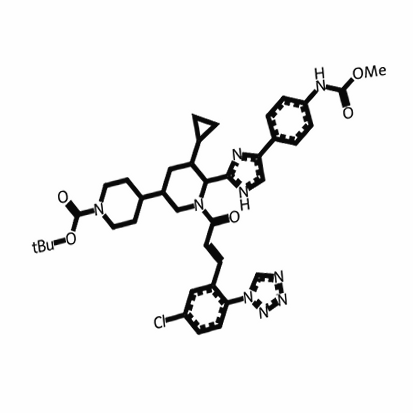 COC(=O)Nc1ccc(-c2c[nH]c(C3C(C4CC4)CC(C4CCN(C(=O)OC(C)(C)C)CC4)CN3C(=O)C=Cc3cc(Cl)ccc3-n3cnnn3)n2)cc1